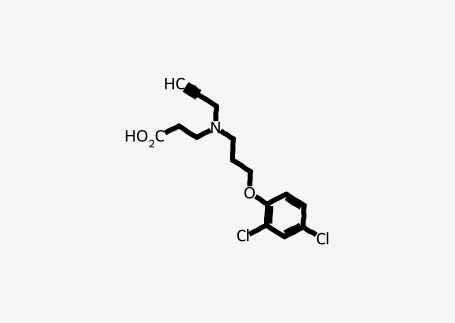 C#CCN(CCCOc1ccc(Cl)cc1Cl)CCC(=O)O